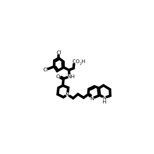 O=C(O)CC(NC(=O)C1CCCN(CCCc2ccc3c(n2)NCCC3)C1)c1cc(Cl)cc(Cl)c1